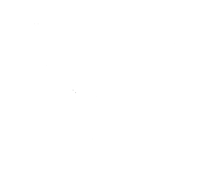 c1cc(-c2ccc(N(c3ccc(-c4cccc5oc6ccccc6c45)cc3)c3ccc(-c4cccc5oc6ccccc6c45)cc3)cc2)cc(-c2cccc3sc4ccccc4c23)c1